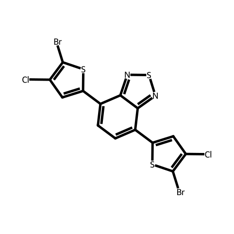 Clc1cc(-c2ccc(-c3cc(Cl)c(Br)s3)c3nsnc23)sc1Br